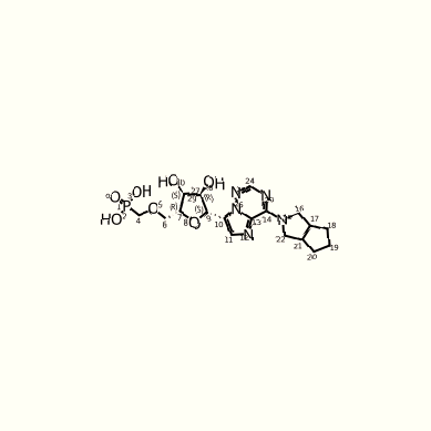 O=P(O)(O)COC[C@H]1O[C@@H](c2cnc3c(N4CC5CCCC5C4)ncnn23)[C@H](O)[C@@H]1O